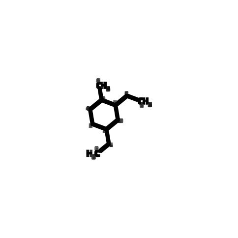 CCC1CCC(C)C(CC)C1